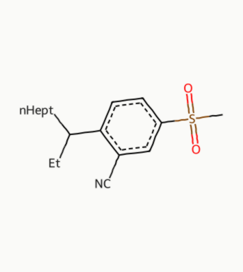 CCCCCCCC(CC)c1ccc(S(C)(=O)=O)cc1C#N